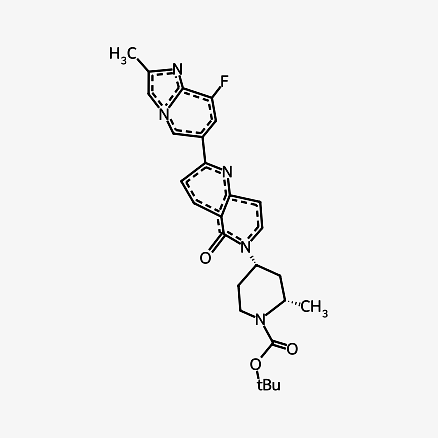 Cc1cn2cc(-c3ccc4c(=O)n([C@H]5CCN(C(=O)OC(C)(C)C)[C@@H](C)C5)ccc4n3)cc(F)c2n1